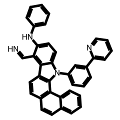 N=Cc1c(Nc2ccccc2)ccc2c1c1ccc3ccc4ccccc4c3c1n2-c1cccc(-c2ccccn2)c1